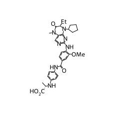 CC[C@@H]1C(=O)N(C)c2cnc(Nc3ccc(C(=O)Nc4ccc(N[C@@H](C)C(=O)O)cc4)cc3OC)nc2N1C1CCCC1